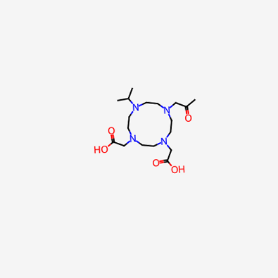 CC(=O)CN1CCN(CC(=O)O)CCN(CC(=O)O)CCN(C(C)C)CC1